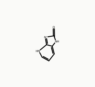 O=C1[N+]=C2NC=CC=C2N1